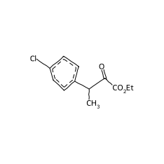 CCOC(=O)C(=O)C(C)c1ccc(Cl)cc1